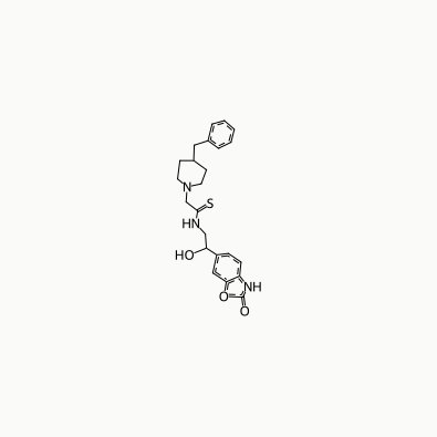 O=c1[nH]c2ccc(C(O)CNC(=S)CN3CCC(Cc4ccccc4)CC3)cc2o1